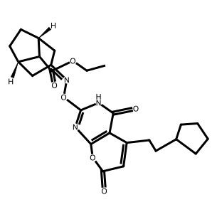 CCOC(=O)C1[C@@H]2CC[C@H]1C/C(=N\Oc1nc3oc(=O)cc(CCC4CCCC4)c3c(=O)[nH]1)C2